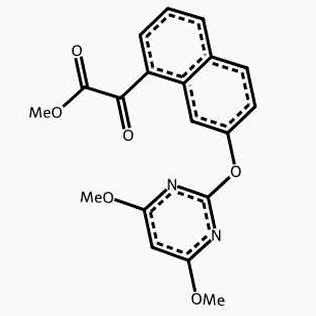 COC(=O)C(=O)c1cccc2ccc(Oc3nc(OC)cc(OC)n3)cc12